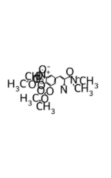 CCN(CC)C(=O)/C(C#N)=C/c1cc(OC(=O)OC(C)C)c(OC(=O)OC(C)C)c([N+](=O)[O-])c1